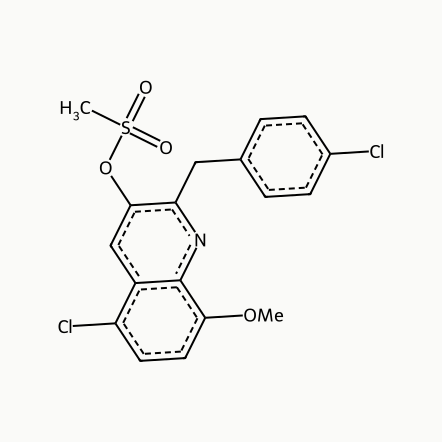 COc1ccc(Cl)c2cc(OS(C)(=O)=O)c(Cc3ccc(Cl)cc3)nc12